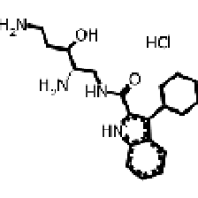 Cl.NCCC(O)[C@@H](N)CNC(=O)c1[nH]c2ccccc2c1C1CCCCC1